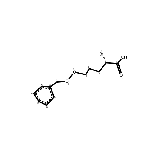 O=C(O)[C@@H](Br)CCCOOCc1ccccc1